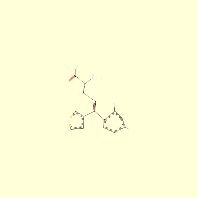 NC(CC=C(c1ccsc1)c1ccc(F)cc1F)C(=O)O